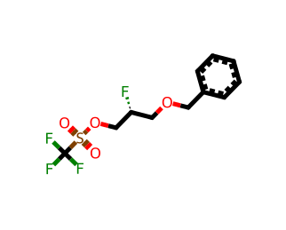 O=S(=O)(OC[C@H](F)COCc1ccccc1)C(F)(F)F